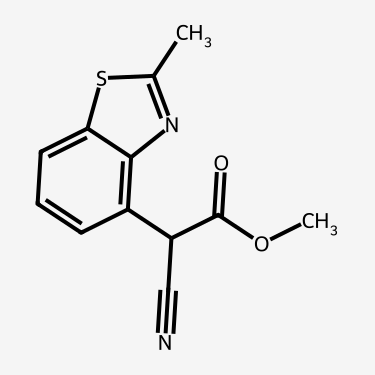 COC(=O)C(C#N)c1cccc2sc(C)nc12